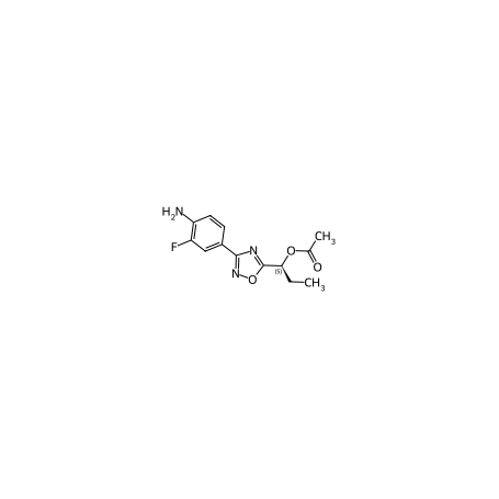 CC[C@H](OC(C)=O)c1nc(-c2ccc(N)c(F)c2)no1